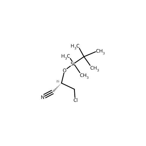 CC(C)(C)[Si](C)(C)O[C@@H](C#N)CCl